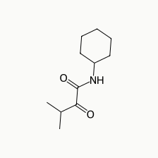 CC(C)C(=O)C(=O)NC1CCCCC1